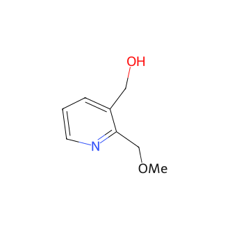 COCc1ncccc1CO